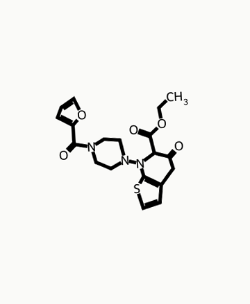 CCOC(=O)C1C(=O)Cc2ccsc2N1N1CCN(C(=O)c2ccco2)CC1